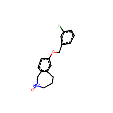 [O-][NH+]1CCCc2cc(OCc3cccc(F)c3)ccc2C1